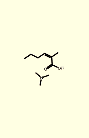 CCCC=C(C)C(=O)O.CN(C)C